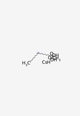 CCCCCCCC/C=C\CCCCCCCC(=O)C(C)(O)C(=O)O.[CsH]